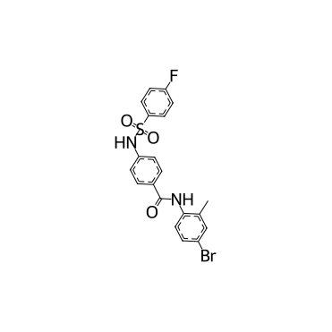 Cc1cc(Br)ccc1NC(=O)c1ccc(NS(=O)(=O)c2ccc(F)cc2)cc1